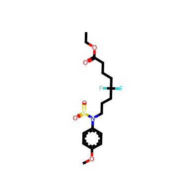 CCOC(=O)CCCC(F)(F)CCCN(c1ccc(OC)cc1)[SH](=O)=O